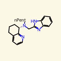 CCCCCN(Cc1nc2ccccc2[nH]1)[C@H]1CCCc2cccnc21